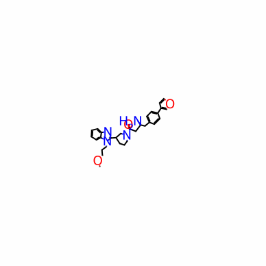 COCCCn1c(C2CCCN(C(=O)CC(N)Cc3ccc(-c4ccoc4)cc3)C2)nc2ccccc21